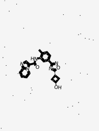 Cc1ccc(-c2noc([C@H]3C[C@@H](O)C3)n2)cc1NC(=O)c1cnc2ccccn12